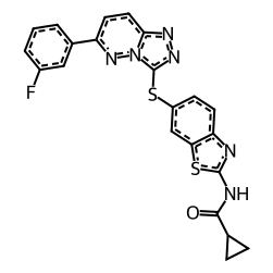 O=C(Nc1nc2ccc(Sc3nnc4ccc(-c5cccc(F)c5)nn34)cc2s1)C1CC1